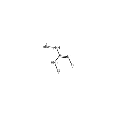 CCCCNC(=NCC)NCC